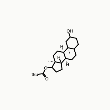 CC(C)(C)C(=O)OC1CC[C@H]2[C@@H]3CCC4CCC(O)C[C@]4(C)[C@@H]3CC[C@]12C